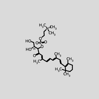 CC(C=CC1=C(C)CCCC1(C)C)=CC=CC(C)=CC(=O)C(OP(=O)([O-])OCC[N+](C)(C)C)[C@@H](O)CO